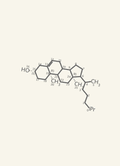 CC(C)CCCC(C)C1CCC2C3CC=C4C[C@@H](O)CC[C@]4(C)C3CC[C@]12C